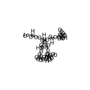 CC(=O)N[C@H]1[C@H](OCCOCCNC(=O)CCOCC(COCCC(=O)CNCCOCCO[C@H]2C[C@@H](OC(C)=O)[C@@H](OC(C)=O)[C@@H](COC(C)=O)O2)(COCCC(=O)NCCOCCO[C@@H]2O[C@H](COC(C)=O)[C@H](OC(C)=O)[C@H](OC(C)=O)[C@H]2NC(C)=O)NC(=O)CCOCCOCCNC(=O)Cc2ccc(OI)cc2)O[C@H](COC(C)=O)[C@H](OC(C)=O)[C@@H]1OC(C)=O